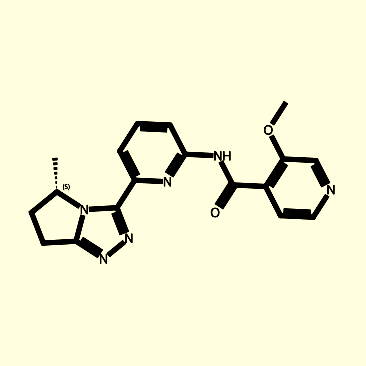 COc1cnccc1C(=O)Nc1cccc(-c2nnc3n2[C@@H](C)CC3)n1